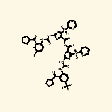 O=C(Nc1nc(C(=O)OC(=O)c2nc(NC(=O)Nc3ccc(C(F)(F)F)cc3C(=O)C3CCCC3)sc2S(=O)(=O)c2ccccn2)c(S(=O)(=O)c2ccccn2)s1)Nc1ccc(F)cc1C(=O)C1CCCC1